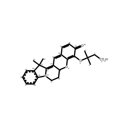 CC(C)(CC(=O)O)OC1=C2OC3CCN4C(=C3C=C2C=CC1=O)C(C)(C)c1ccccc14